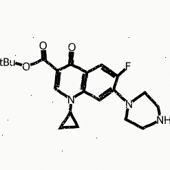 CC(C)(C)OC(=O)c1cn(C2CC2)c2cc(N3CCNCC3)c(F)cc2c1=O